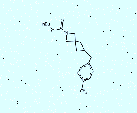 CCCCOC(=O)N1CC2(CC(Cc3cnc(C(F)(F)F)cn3)C2)C1